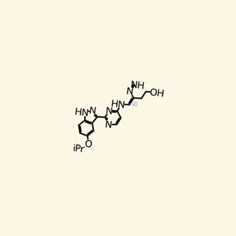 CC(C)Oc1ccc2[nH]nc(-c3nccc(N/C=C(/CCO)N=N)n3)c2c1